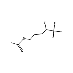 CC(=O)SCCCC(F)C(C)(F)F